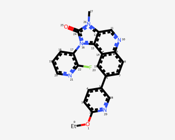 CCOc1ccc(-c2ccc3ncc4c(c3c2)n(-c2cccnc2F)c(=O)n4C)cn1